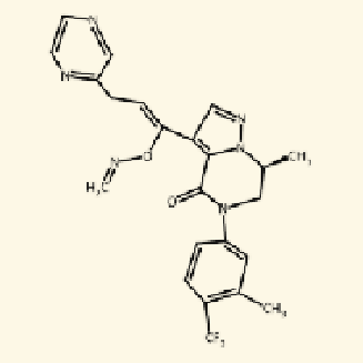 C=NO/C(=C\Cc1cnccn1)c1cnn2c1C(=O)N(c1ccc(C(F)(F)F)c(C)c1)C[C@@H]2C